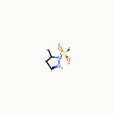 CC1CC=NN1S(C)(=O)=O